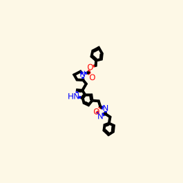 O=C(OCc1ccccc1)N1CCCC1Cc1c[nH]c2ccc(Cc3nc(Cc4ccccc4)no3)cc12